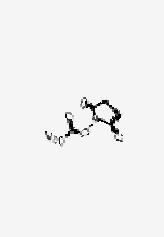 COC(=O)ON1C(=O)CCC1=O